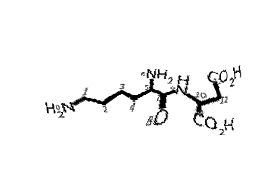 NCCCCC(N)C(=O)NC(CC(=O)O)C(=O)O